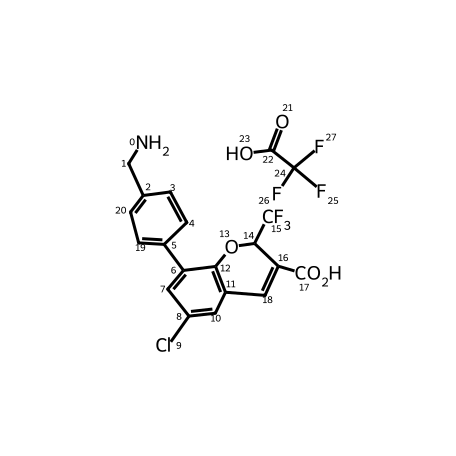 NCc1ccc(-c2cc(Cl)cc3c2OC(C(F)(F)F)C(C(=O)O)=C3)cc1.O=C(O)C(F)(F)F